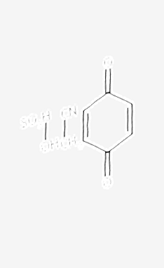 CC#N.O=C1C=CC(=O)C=C1.O=S(=O)(O)O